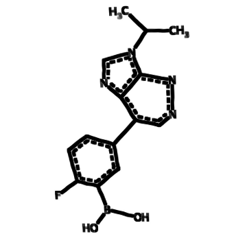 CC(C)n1cnc2c(-c3ccc(F)c(B(O)O)c3)cnnc21